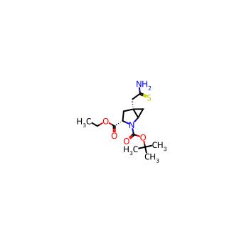 CCOC(=O)[C@@H]1C[C@@]2(CC(N)=S)CC2N1C(=O)OC(C)(C)C